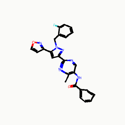 Cc1nc(-c2cc(-c3ccon3)n(Cc3ccccc3F)n2)ncc1NC(=O)c1ccccc1